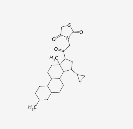 CC1CCC2C(CCC3C2CCC2(C)C(C(=O)CN4C(=O)CSC4=O)CC(C4CC4)C32)C1